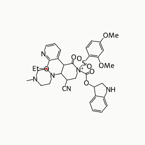 CCOc1ncccc1C1C(=O)[N+](C(=O)OC2CNc3ccccc32)(S(=O)(=O)c2ccc(OC)cc2OC)CC(C#N)C1N1CCN(C)CC1